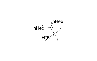 BC(C)(C)C(CCCCCC)CCCCCC